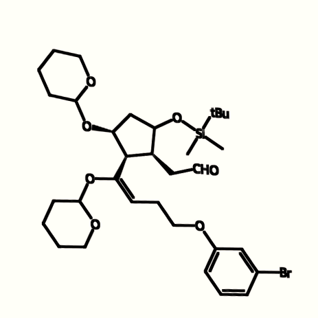 CC(C)(C)[Si](C)(C)OC1C[C@H](OC2CCCCO2)[C@H](/C(=C\CCOc2cccc(Br)c2)OC2CCCCO2)[C@@H]1CC=O